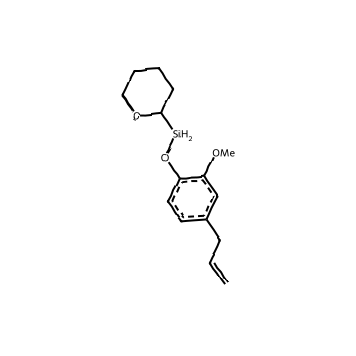 C=CCc1ccc(O[SiH2]C2CCCCO2)c(OC)c1